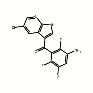 Nc1cc(Br)c(F)c(C(=O)c2c[nH]c3ncc(Cl)cc23)c1F